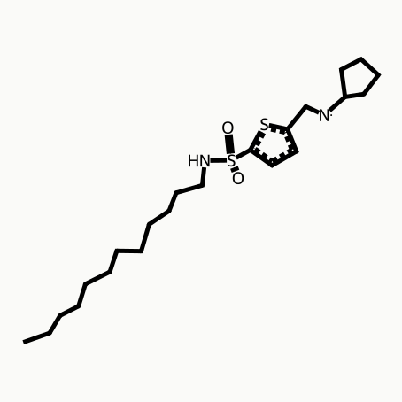 CCCCCCCCCCCCNS(=O)(=O)c1ccc(C[N]C2CCCC2)s1